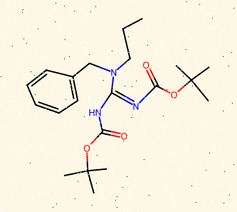 CCCN(Cc1ccccc1)/C(=N\C(=O)OC(C)(C)C)NC(=O)OC(C)(C)C